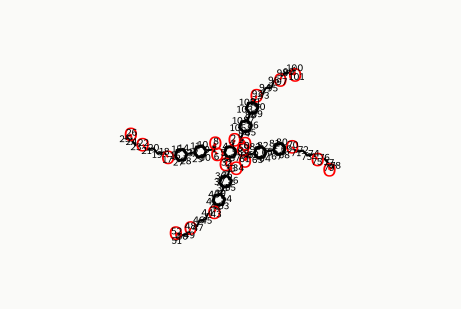 O=C(Oc1cc(OC(=O)c2ccc(-c3ccc(OCCCCOCC4CO4)cc3)cc2)c(OC(=O)c2ccc(-c3ccc(OCCCCOCC4CO4)cc3)cc2)cc1OC(=O)c1ccc(-c2ccc(OCCCCOCC3CO3)cc2)cc1)c1ccc(-c2ccc(OCCCCOCC3CO3)cc2)cc1